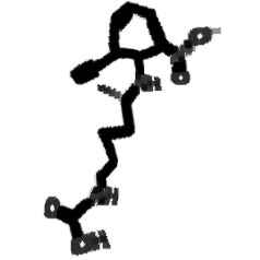 C#Cc1cccc([N+](=O)[O-])c1N[C@@H](C)CCCCNC(=O)O